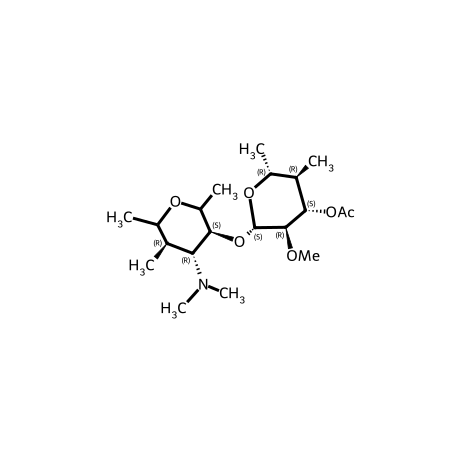 CO[C@H]1[C@H](O[C@@H]2C(C)OC(C)[C@H](C)[C@H]2N(C)C)O[C@H](C)[C@@H](C)[C@@H]1OC(C)=O